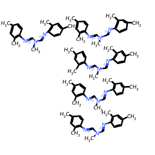 Cc1ccc(/N=C/N(C)/C=N/c2ccc(C)cc2C)c(C)c1.Cc1ccc(/N=C/N(C)/C=N/c2ccc(C)cc2C)c(C)c1.Cc1ccc(/N=C/N(C)/C=N/c2ccc(C)cc2C)c(C)c1.Cc1ccc(/N=C/N(C)/C=N/c2ccc(C)cc2C)c(C)c1.Cc1ccc(/N=C/N(C)/C=N/c2ccc(C)cc2C)c(C)c1